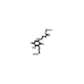 CCCCCCCCCCCCCC1=C(O)C(=O)C=C(NCCCC(=O)OCCCCCC)C1=O